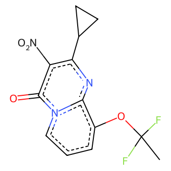 CC(F)(F)Oc1cccn2c(=O)c([N+](=O)[O-])c(C3CC3)nc12